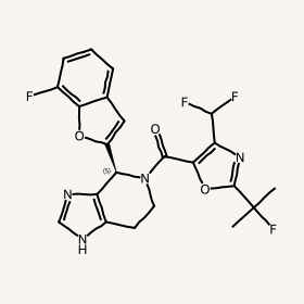 CC(C)(F)c1nc(C(F)F)c(C(=O)N2CCc3[nH]cnc3[C@H]2c2cc3cccc(F)c3o2)o1